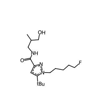 CC(CO)CNC(=O)c1cc(C(C)(C)C)n(CCCCCF)n1